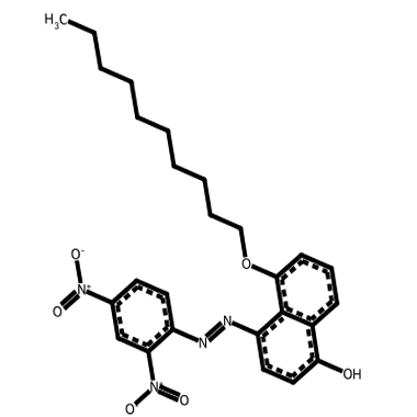 CCCCCCCCCCOc1cccc2c(O)ccc(/N=N/c3ccc([N+](=O)[O-])cc3[N+](=O)[O-])c12